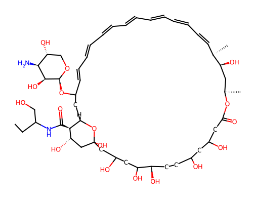 CCC(CO)NC(=O)[C@H]1[C@@H]2CC(O[C@@H]3OC[C@@H](O)[C@H](N)[C@@H]3O)/C=C/C=C/C=C/C=C/C=C/C=C/C=C/[C@H](C)[C@@H](O)C[C@H](C)OC(=O)CC(O)CC(O)CC[C@@H](O)C(O)CC(O)CC(O)(C[C@@H]1O)O2